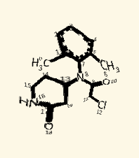 Cc1cccc(C)c1N(C(=O)CCl)C1CCNC(=O)C1